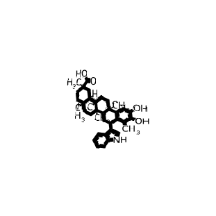 Cc1c(O)c(O)cc2c1C(c1c[nH]c3ccccc13)C=C1[C@@]2(C)CC[C@@]2(C)[C@@H]3C[C@](C)(C(=O)O)CC[C@]3(C)CC[C@]12C